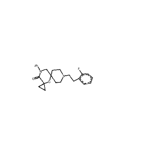 CC(C)N1CC2(CCN(CCc3ccccc3F)CC2)OC2(CC2)C1=O